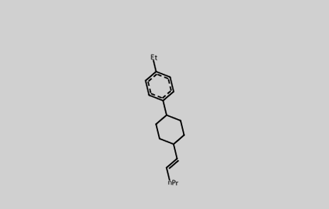 CCCC=CC1CCC(c2ccc(CC)cc2)CC1